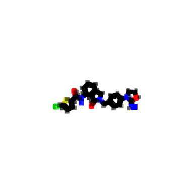 N=C1OCCN1c1ccc(CN2Cc3cccc(NC(=O)c4ccc(Cl)s4)c3C2=O)cc1